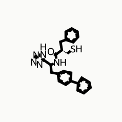 O=C(NC(Cc1ccc(-c2ccccc2)cc1)c1nnn[nH]1)[C@@H](CS)Cc1ccccc1